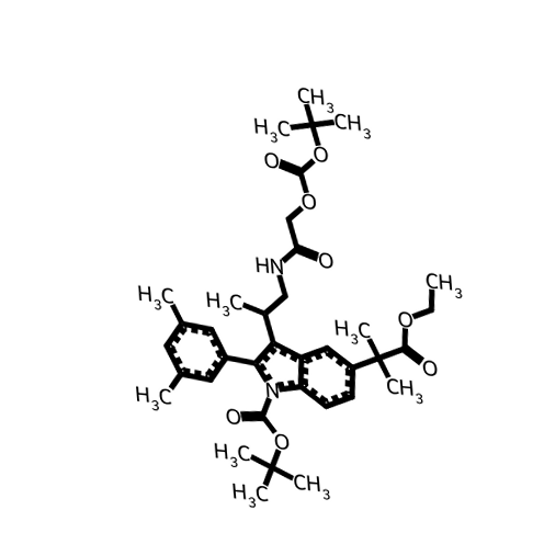 CCOC(=O)C(C)(C)c1ccc2c(c1)c(C(C)CNC(=O)COC(=O)OC(C)(C)C)c(-c1cc(C)cc(C)c1)n2C(=O)OC(C)(C)C